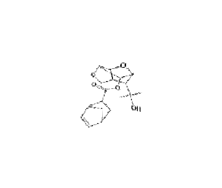 CC(C)(O)C1C2COC3C2OC1C3OC(=O)C1CC2C=CC1C2